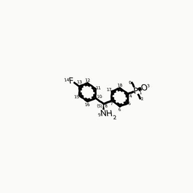 CP(C)(=O)c1ccc([C@@H](N)c2ccc(F)cc2)cc1